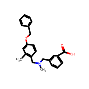 Cc1cc(OCc2ccccc2)ccc1CN(C)Cc1cccc(C(=O)O)c1